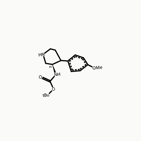 COc1ccc(C2CCNC[C@@H]2NC(=O)OC(C)(C)C)cc1